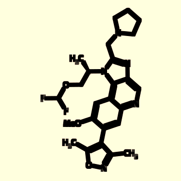 COc1cc2c(cc1-c1c(C)noc1C)ncc1nc(CN3CCCC3)n([C@H](C)COC(F)F)c12